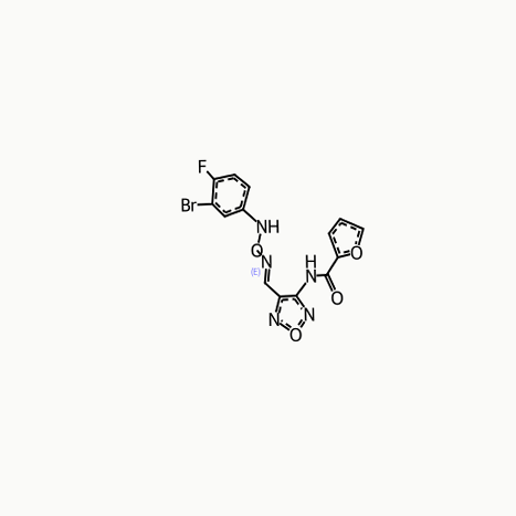 O=C(Nc1nonc1/C=N/ONc1ccc(F)c(Br)c1)c1ccco1